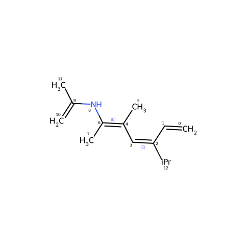 C=C/C(=C\C(C)=C(/C)NC(=C)C)C(C)C